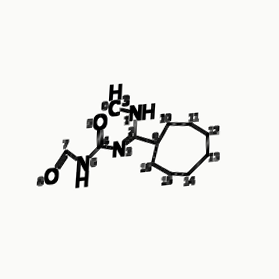 CN/C(=N\C(=O)NC=O)C1CCCCCCC1